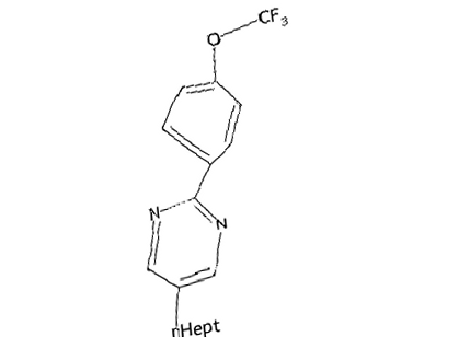 CCCCCCCc1cnc(-c2ccc(OC(F)(F)F)cc2)nc1